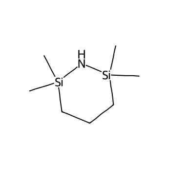 C[Si]1(C)CCC[Si](C)(C)N1